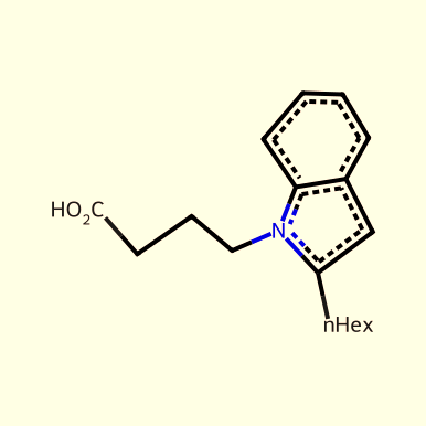 CCCCCCc1cc2ccccc2n1CCCC(=O)O